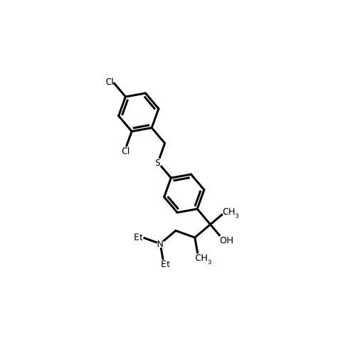 CCN(CC)CC(C)C(C)(O)c1ccc(SCc2ccc(Cl)cc2Cl)cc1